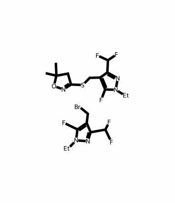 CCn1nc(C(F)F)c(CBr)c1F.CCn1nc(C(F)F)c(CSC2=NOC(C)(C)C2)c1F